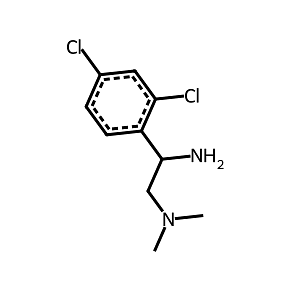 CN(C)CC(N)c1ccc(Cl)cc1Cl